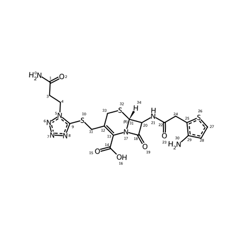 NC(=O)CCn1nnnc1SCC1=C(C(=O)O)N2C(=O)C(NC(=O)Cc3sccc3N)[C@H]2SC1